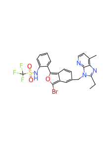 CCc1nc2c(C)ccnc2n1Cc1ccc2c(-c3ccccc3NS(=O)(=O)C(F)(F)F)oc(Br)c2c1